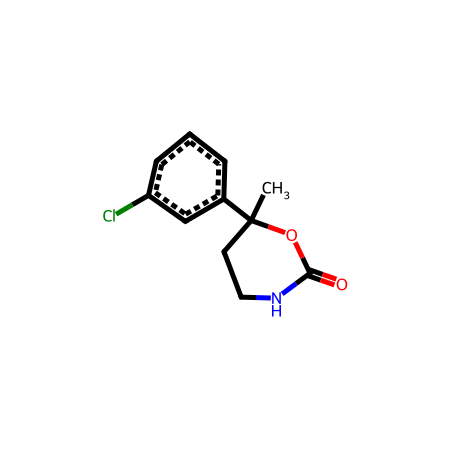 CC1(c2cccc(Cl)c2)CCNC(=O)O1